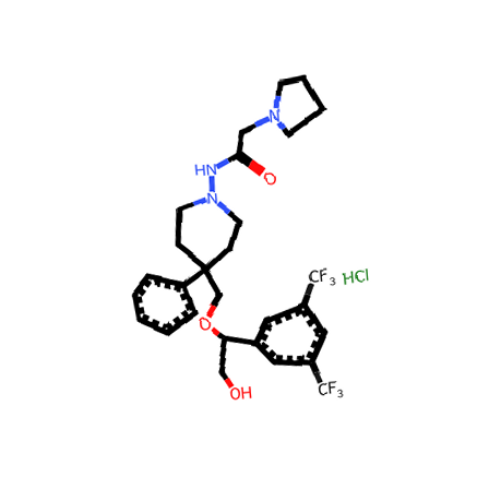 Cl.O=C(CN1CCCC1)NN1CCC(COC(CO)c2cc(C(F)(F)F)cc(C(F)(F)F)c2)(c2ccccc2)CC1